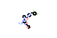 Nc1nc(N2CCC[C@H]2C(=O)N2CCN(Cc3ccc(F)cc3F)CC2)nc2oc(-c3ccco3)nc12